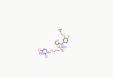 O=c1ccn(COCCCS(=O)(=O)N[C@@H](c2ccc(F)c(OCC3CC3)c2)c2cccs2)c(=O)[nH]1